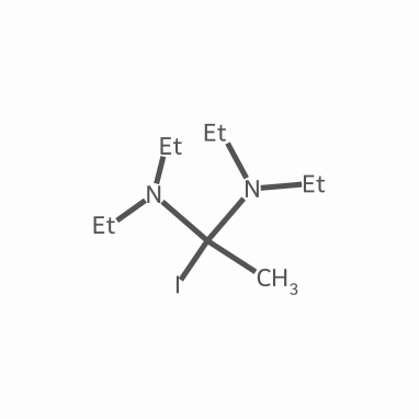 CCN(CC)C(C)(I)N(CC)CC